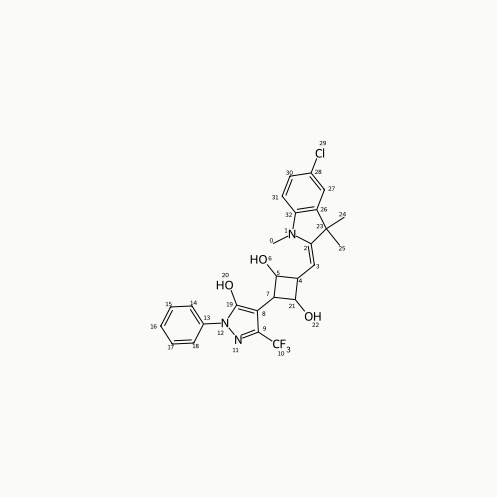 CN1C(=CC2C(O)C(c3c(C(F)(F)F)nn(-c4ccccc4)c3O)C2O)C(C)(C)c2cc(Cl)ccc21